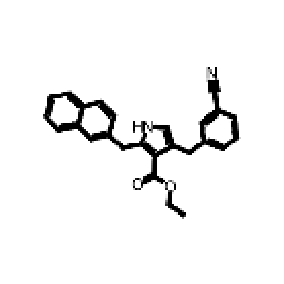 CCOC(=O)c1c(Cc2cccc(C#N)c2)c[nH]c1Cc1ccc2ccccc2c1